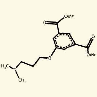 COC(=O)c1cc(OCCCN(C)C)cc(C(=O)OC)c1